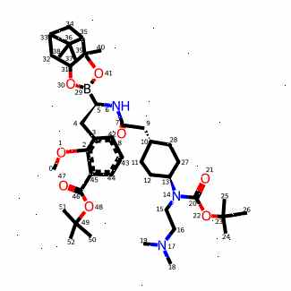 COc1c(C[C@H](NC(=O)C[C@H]2CC[C@H](N(CCN(C)C)C(=O)OC(C)(C)C)CC2)B2OC3CC4CC(C4(C)C)C3(C)O2)cccc1C(=O)OC(C)(C)C